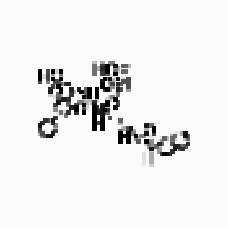 O=C(O)C(F)(F)F.O=C(O)CC(NC(=O)CNC(=O)CCCCNC(=O)Nc1ccc2ccccc2c1)c1ccc(-c2ccccc2)cc1